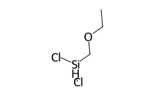 CCOC[SiH](Cl)Cl